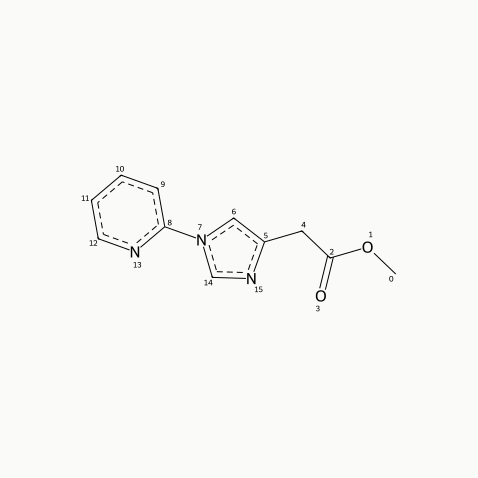 COC(=O)Cc1cn(-c2ccccn2)cn1